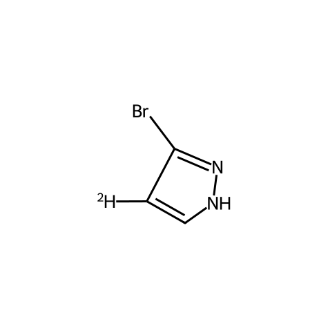 [2H]c1c[nH]nc1Br